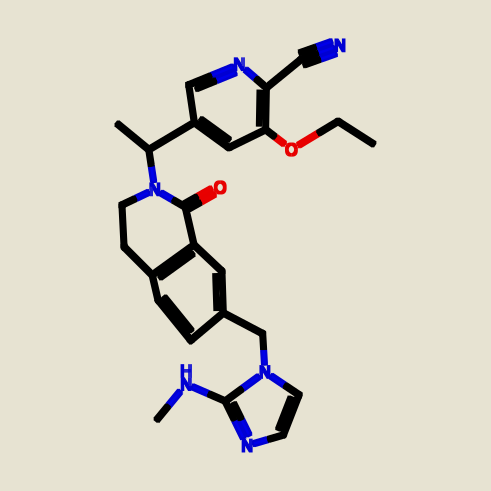 CCOc1cc(C(C)N2CCc3ccc(Cn4ccnc4NC)cc3C2=O)cnc1C#N